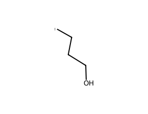 [CH]CCCO